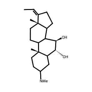 C/C=C1/CCC2C3C(CC[C@]12C)[C@@]1(C)CCC(NC)CC1[C@@H](O)[C@@H]3O